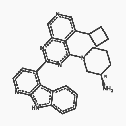 N[C@@H]1CCCN(c2nc(-c3ccnc4[nH]c5ccccc5c34)nc3cncc(C4CCC4)c23)C1